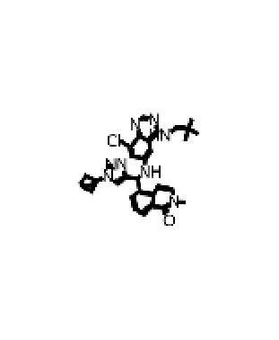 Cn1ccc2c(C(Nc3cc(Cl)c4ncnc(NCC(C)(C)C)c4c3)c3cn(C45CC(C4)C5)nn3)cccc2c1=O